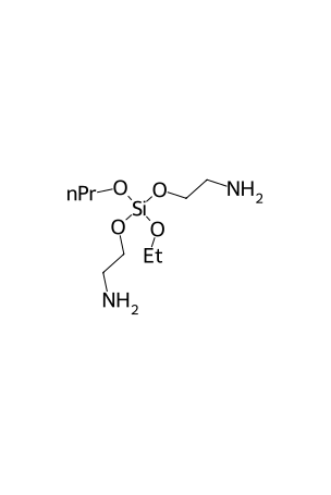 CCCO[Si](OCC)(OCCN)OCCN